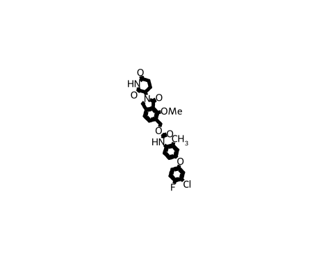 COc1c(COC(=O)Nc2ccc(Oc3ccc(F)c(Cl)c3)cc2C)ccc2c1C(=O)N(C1CCC(=O)NC1=O)C2